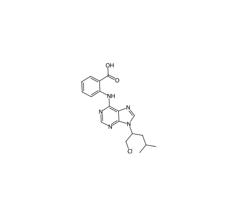 CC(C)CC(CCl)n1cnc2c(Nc3ccccc3C(=O)O)ncnc21